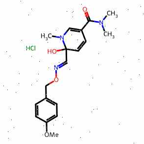 COc1ccc(CON=CC2(O)C=CC(C(=O)N(C)C)=CN2C)cc1.Cl